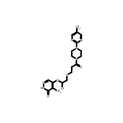 CCC(COCCC(=O)N1CCN(c2ncc(C(F)(F)F)cn2)CC1)Oc1cn[nH]c(=O)c1C(F)(F)F